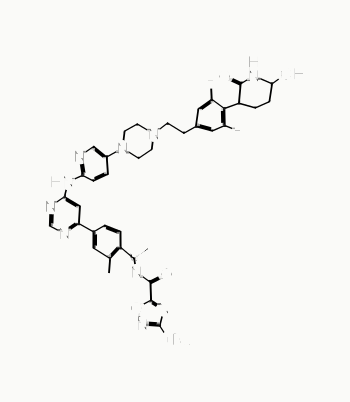 Cc1cc(-c2cc(Nc3ccc(N4CCN(CCc5cc(F)c(C6CCC(O)NC6=O)c(F)c5)CC4)cn3)ncn2)ccc1[C@@H](C)NC(=O)c1nc(C(C)(C)C)no1